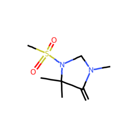 C=C1N(C)CN(S(C)(=O)=O)C1(C)C